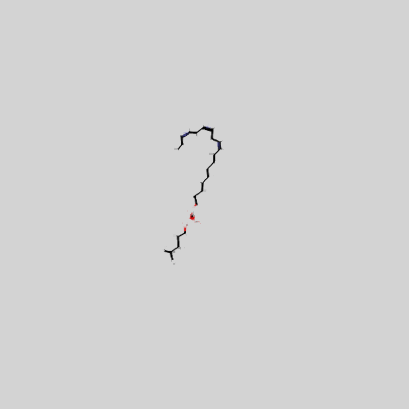 CC/C=C\C/C=C\C/C=C\CCCCCCCCOC(=O)OCCCC(C)C